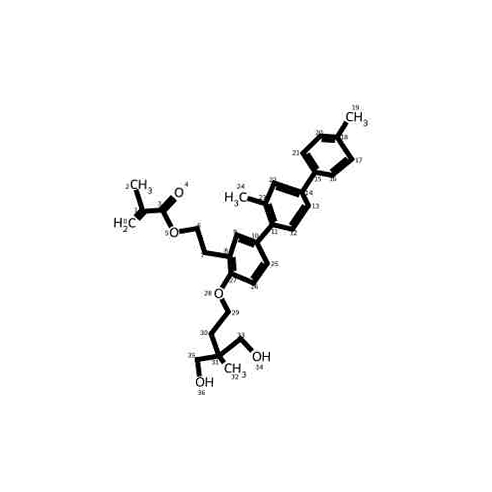 C=C(C)C(=O)OCCc1cc(-c2ccc(-c3ccc(C)cc3)cc2C)ccc1OCCC(C)(CO)CO